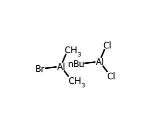 CCC[CH2][Al]([Cl])[Cl].[CH3][Al]([CH3])[Br]